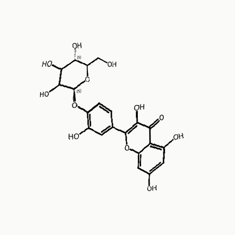 O=c1c(O)c(-c2ccc(O[C@@H]3OC(CO)[C@@H](O)C(O)C3O)c(O)c2)oc2cc(O)cc(O)c12